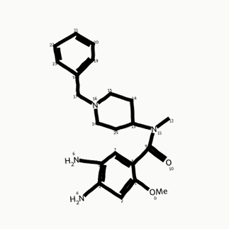 COc1cc(N)c(N)cc1C(=O)N(C)C1CCN(Cc2ccccc2)CC1